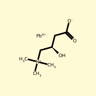 C[N+](C)(C)C[C@H](O)CC(=O)[O-].[Pb+4]